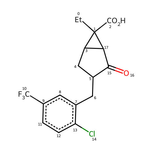 CCC1(C(=O)O)C2CC(Cc3cc(C(F)(F)F)ccc3Cl)C(=O)C21